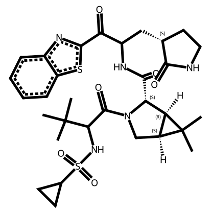 CC(C)(C)C(NS(=O)(=O)C1CC1)C(=O)N1C[C@H]2[C@@H]([C@H]1C(=O)NC(C[C@@H]1CCNC1=O)C(=O)c1nc3ccccc3s1)C2(C)C